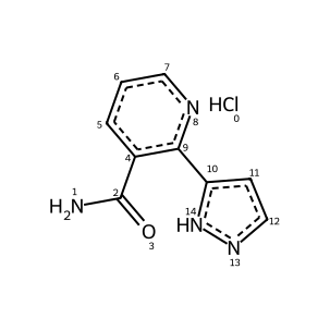 Cl.NC(=O)c1cccnc1-c1ccn[nH]1